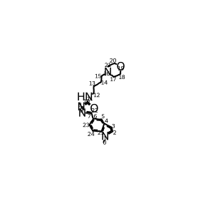 Cn1ccc2cc(-c3nnc(NCCCCN4CCOCC4)o3)ccc21